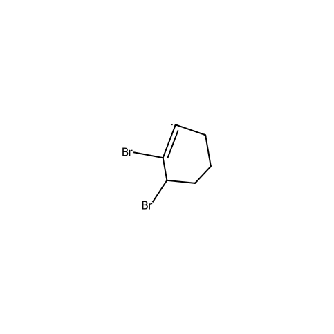 BrC1=[C]CCCC1Br